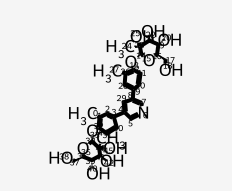 Cc1cc(-c2cncc(-c3ccc(O[C@H]4O[C@H](CO)[C@@H](O)[C@H](O)[C@]4(C)O)c(C)c3)c2)ccc1O[C@H]1O[C@H](CO)[C@@H](O)[C@H](O)[C@@]1(C)O